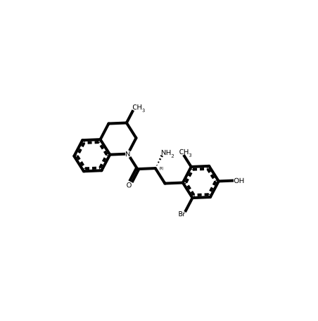 Cc1cc(O)cc(Br)c1C[C@@H](N)C(=O)N1CC(C)Cc2ccccc21